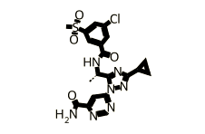 C[C@H](NC(=O)c1cc(Cl)cc(S(C)(=O)=O)c1)c1nc(C2CC2)nn1-c1cc(C(N)=O)ncn1